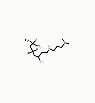 CN(C)CCCNCCC(CC(F)(F)CC(F)(C(F)(F)F)C(F)(F)F)C(F)(F)F